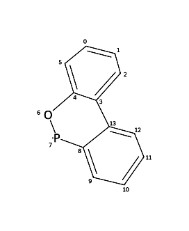 c1ccc2c(c1)O[P]c1ccccc1-2